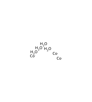 O.O.O.O.[Co].[Co].[Co]